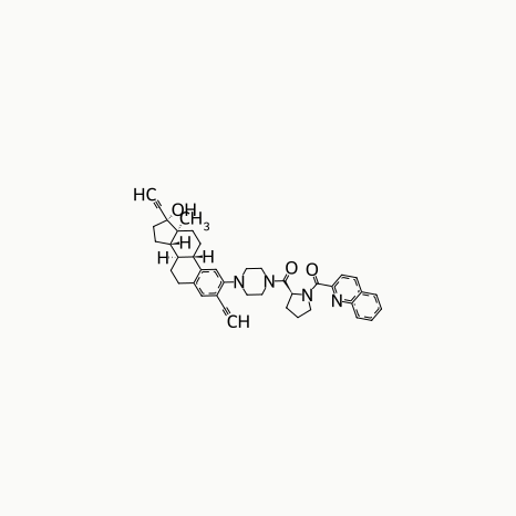 C#Cc1cc2c(cc1N1CCN(C(=O)[C@@H]3CCCN3C(=O)c3ccc4ccccc4n3)CC1)[C@H]1CC[C@@]3(C)[C@@H](CC[C@@]3(O)C#C)[C@@H]1CC2